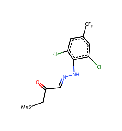 CSCC(=O)C=NNc1c(Cl)cc(C(F)(F)F)cc1Cl